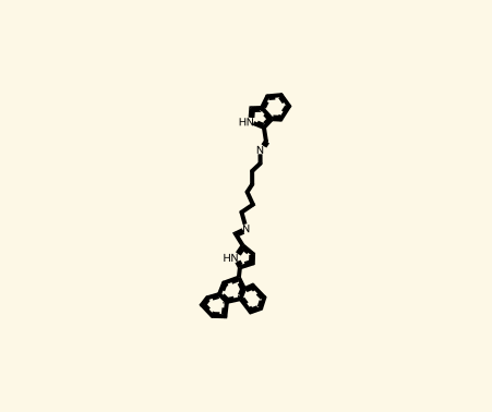 C(=N\CCCCCC/N=C/c1[nH]cc2ccccc12)/c1ccc(-c2cc3ccccc3c3ccccc23)[nH]1